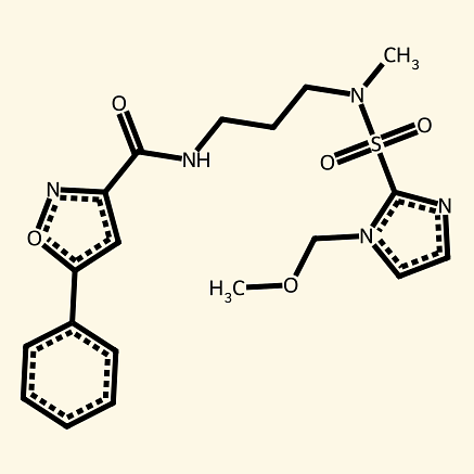 COCn1ccnc1S(=O)(=O)N(C)CCCNC(=O)c1cc(-c2ccccc2)on1